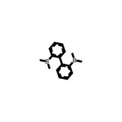 CB(C)c1ccccc1-c1ccccc1B(C)C